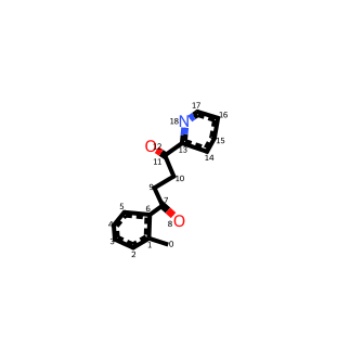 Cc1ccccc1C(=O)CCC(=O)c1ccccn1